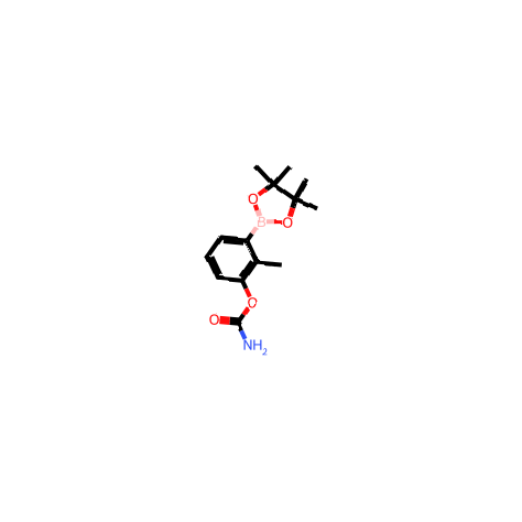 Cc1c(OC(N)=O)cccc1B1OC(C)(C)C(C)(C)O1